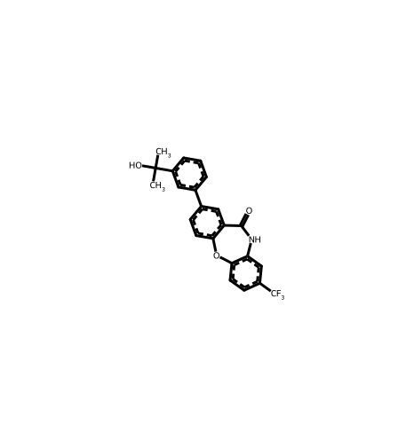 CC(C)(O)c1cccc(-c2ccc3c(c2)C(=O)Nc2cc(C(F)(F)F)ccc2O3)c1